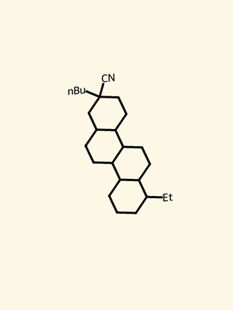 CCCCC1(C#N)CCC2C(CCC3C4CCCC(CC)C4CCC23)C1